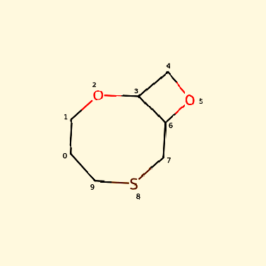 C1COC2COC2CSC1